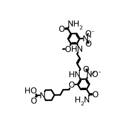 COc1cc(C(N)=O)cc([N+](=O)[O-])c1NCC=CCNc1c(OCCCC2CCN(C(=O)O)CC2)cc(C(N)=O)cc1[N+](=O)[O-]